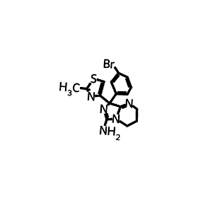 Cc1nc(C2(c3cccc(Br)c3)N=C(N)N3CCCN=C32)cs1